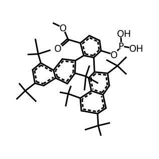 COC(=O)c1ccc(OP(O)O)c(-c2cc3c(C(C)(C)C)cc(C(C)(C)C)cc3cc2C(C)(C)C)c1-c1cc2c(C(C)(C)C)cc(C(C)(C)C)cc2cc1C(C)(C)C